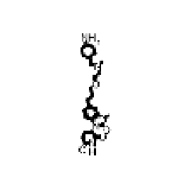 CN(CCOCCCc1ccc2c(c1)n(C)c(=O)n2C1CCC(=O)NC1=O)CC1CCC(N)CC1